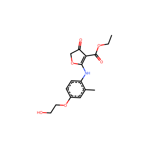 CCOC(=O)C1=C(Nc2ccc(OCCO)cc2C)OCC1=O